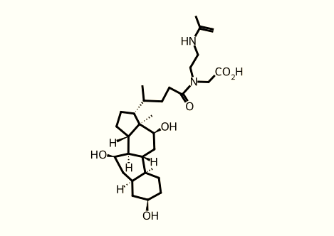 C=C(C)NCCN(CC(=O)O)C(=O)CCC(C)[C@H]1CC[C@H]2[C@@H]3[C@H](O)C[C@@H]4C[C@H](O)CC[C@]4(C)[C@H]3C[C@H](O)[C@]12C